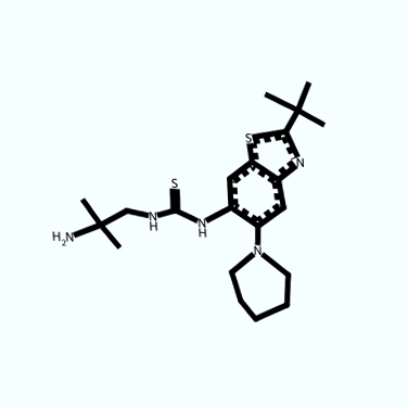 CC(C)(N)CNC(=S)Nc1cc2sc(C(C)(C)C)nc2cc1N1CCCCC1